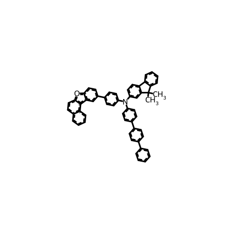 CC1(C)c2ccccc2-c2ccc(N(c3ccc(-c4ccc(-c5ccccc5)cc4)cc3)c3ccc(-c4ccc5oc6ccc7ccccc7c6c5c4)cc3)cc21